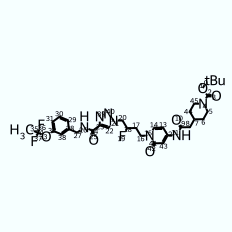 CC(C)(C)OC(=O)N1CCC(CC(=O)Nc2ccn(CCC(F)Cn3cc(C(=O)NCc4cccc(OC(C)(F)F)c4)nn3)c(=O)c2)CC1